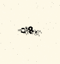 Cc1cnc(OC(C)C)c2cccc(S(=O)(=O)N3CCCNCC3)c12